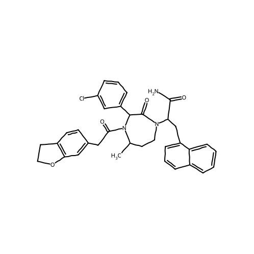 CC1CCN(C(Cc2cccc3ccccc23)C(N)=O)C(=O)C(c2cccc(Cl)c2)N1C(=O)Cc1ccc2c(c1)OCC2